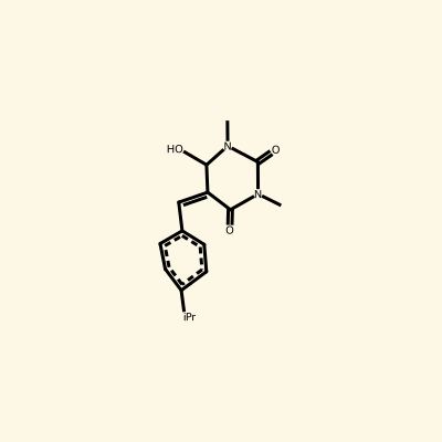 CC(C)c1ccc(/C=C2\C(=O)N(C)C(=O)N(C)C2O)cc1